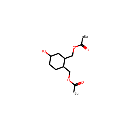 CCCCC(=O)OCC1CCC(O)CC1COC(=O)CCCC